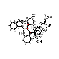 O=C(O)c1cccc(NC(C(=O)O[C@H]2CN3CCC2CC3)c2csc3ccccc23)c1[C@@H](Cc1c(Cl)c[n+]([O-])cc1Cl)c1ccc(OC(F)F)c(OCC2CC2)c1